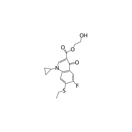 CCSc1cc2c(cc1F)c(=O)c(C(=O)OCCO)cn2C1CC1